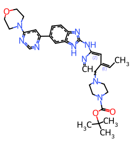 C=N/C(=C\C(=C/C)CN1CCN(C(=O)OC(C)(C)C)CC1)Nc1nc2ccc(-c3cc(N4CCOCC4)ncn3)cc2[nH]1